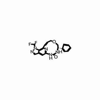 O=C1Nc2cc3cnn(C(F)F)c3c(n2)/C=C\COC[C@H](c2ccccc2)N1